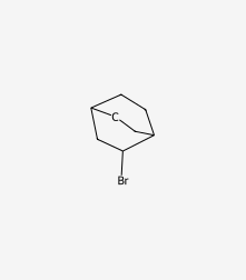 BrC1CC2CCC1CC2